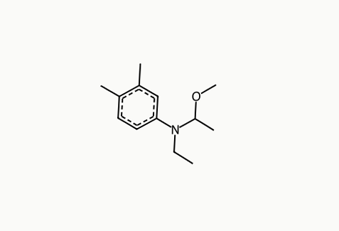 CCN(c1ccc(C)c(C)c1)C(C)OC